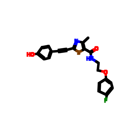 Cc1nc(C#Cc2ccc(O)cc2)sc1C(=O)NCCOc1ccc(F)cc1